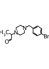 CC(C=O)N1CCN(Cc2ccc(Br)cc2)CC1